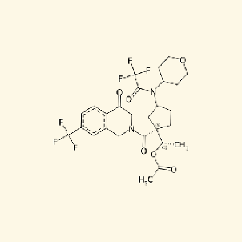 CC(=O)O[C@@H](C)[C@]1(C(=O)N2CC(=O)c3ccc(C(F)(F)F)cc3C2)CCC(N(C(=O)C(F)(F)F)C2CCOCC2)C1